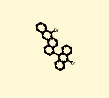 Brc1c2ccccc2c(-c2cccc3c2ccc2c(Br)c4ccccc4cc23)c2ccccc12